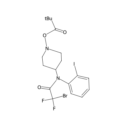 CC(C)(C)C(=O)ON1CCC(N(C(=O)C(F)(F)Br)c2ccccc2I)CC1